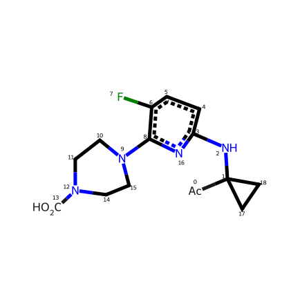 CC(=O)C1(Nc2ccc(F)c(N3CCN(C(=O)O)CC3)n2)CC1